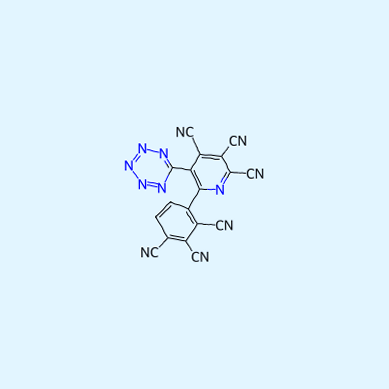 N#Cc1ccc(-c2nc(C#N)c(C#N)c(C#N)c2-c2nnnnn2)c(C#N)c1C#N